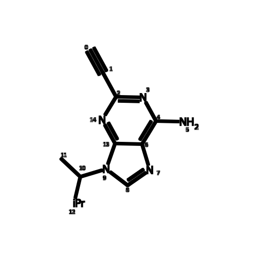 C#Cc1nc(N)c2ncn(C(C)C(C)C)c2n1